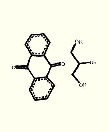 O=C1c2ccccc2C(=O)c2ccccc21.OCC(O)CO